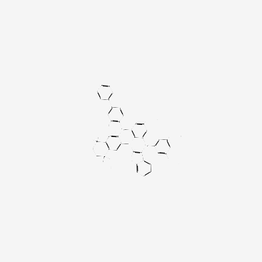 Cc1cc(C)cc(N2c3cc(C)cc4c3B(c3cc5c(cc3N4c3ccc(-c4ccccc4)cc3C)C(C)(C)CCC5(C)C)c3sc4ccccc4c32)c1